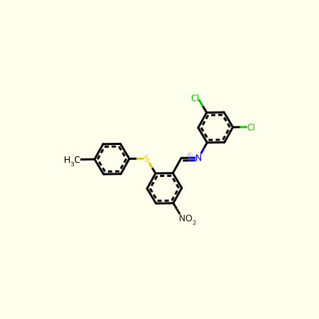 Cc1ccc(Sc2ccc([N+](=O)[O-])cc2/C=N/c2cc(Cl)cc(Cl)c2)cc1